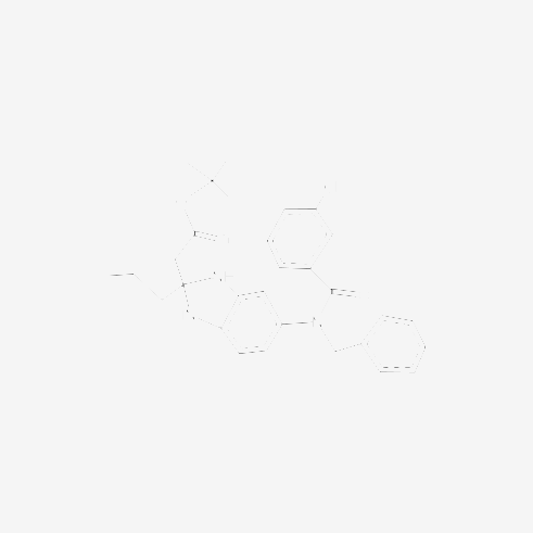 CCCC1(CC(=O)OC(C)(C)C)Nc2ccc(N(Cc3ccccc3)C(=O)c3cccc(Cl)c3)cc2N1